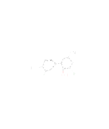 N#Cc1cc(Br)c(O)c(-c2ccc(C(F)(F)F)c(Cl)c2)c1